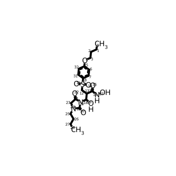 CCCCOc1ccc(S(=O)(=O)CC(C(=O)NO)C(O)N2C(=O)CN(CCCC)C2=O)cc1